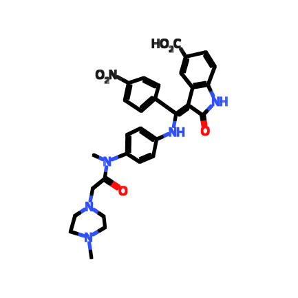 CN1CCN(CC(=O)N(C)c2ccc(N/C(=C3\C(=O)Nc4ccc(C(=O)O)cc43)c3ccc([N+](=O)[O-])cc3)cc2)CC1